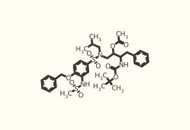 CC(=O)OC(CN(CC(C)C)S(=O)(=O)c1ccc(OCc2ccccc2)c(NS(C)(=O)=O)c1)C(Cc1ccccc1)NC(=O)OC(C)(C)C